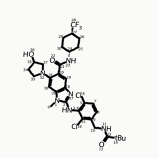 Cn1c(Nc2c(Cl)ccc(CNC(=O)C(C)(C)C)c2Cl)nc2cc(C(=O)N[C@H]3CC[C@H](C(F)(F)F)CC3)c(N3CCC(O)C3)cc21